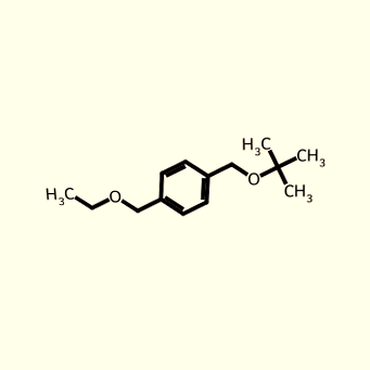 CCOCc1ccc(COC(C)(C)C)cc1